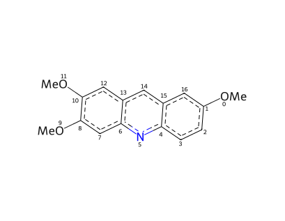 COc1ccc2nc3cc(OC)c(OC)cc3cc2c1